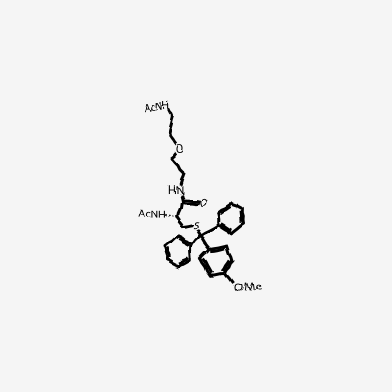 COc1ccc(C(SC[C@H](NC(C)=O)C(=O)NCCOCCNC(C)=O)(c2ccccc2)c2ccccc2)cc1